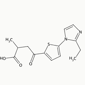 CCc1nccn1-c1ccc(C(=O)CC(C)C(=O)O)s1